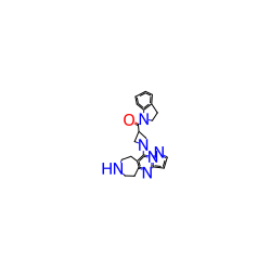 O=C(C1CN(c2c3c(nc4ccnn24)CCNCC3)C1)N1CCc2ccccc21